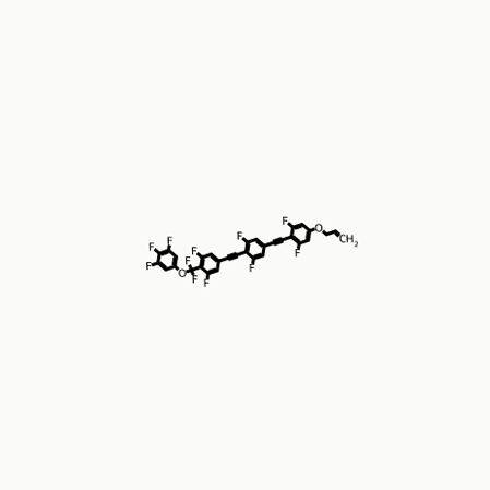 C=CCOc1cc(F)c(C#Cc2cc(F)c(C#Cc3cc(F)c(C(F)(F)Oc4cc(F)c(F)c(F)c4)c(F)c3)c(F)c2)c(F)c1